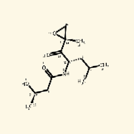 CC(C)C[C@H](NC(=O)C[C@@H](C)O)C(=O)[C@@]1(C)CO1